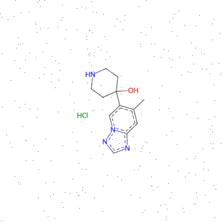 Cc1cc2ncnn2cc1C1(O)CCNCC1.Cl